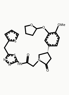 COc1ccc([C@@H]2CC(=O)N(CC(=O)Nc3nnc(Cc4cccs4)s3)C2)cc1OC1CCCO1